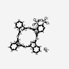 O=S(=O)([O-])c1ccc2c3nc4nc(nc5[nH]c(nc6nc(nc([nH]3)c2c1S(=O)(=O)[O-])-c1ccccc1-6)c1ccccc51)-c1ccccc1-4.[K+].[K+]